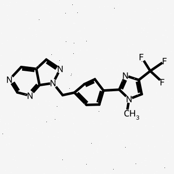 Cn1cc(C(F)(F)F)nc1-c1ccc(Cn2ncc3cncnc32)cc1